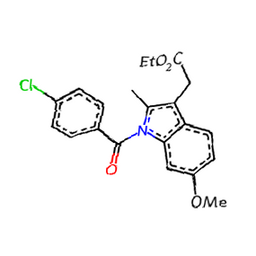 CCOC(=O)Cc1c(C)n(C(=O)c2ccc(Cl)cc2)c2cc(OC)ccc12